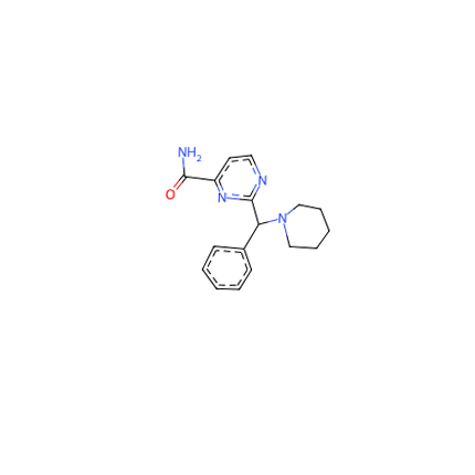 NC(=O)c1ccnc(C(c2ccccc2)N2CCCCC2)n1